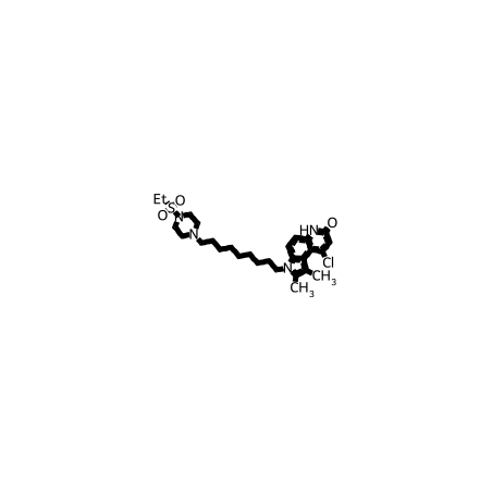 CCS(=O)(=O)N1CCN(CCCCCCCCCn2c(C)c(C)c3c4c(Cl)cc(=O)[nH]c4ccc32)CC1